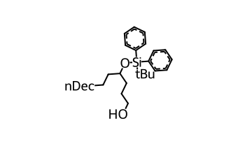 CCCCCCCCCCCCC(CCCO)O[Si](c1ccccc1)(c1ccccc1)C(C)(C)C